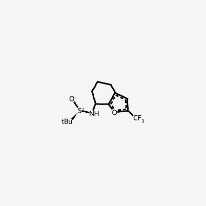 CC(C)(C)[S@@+]([O-])NC1CCCc2cc(C(F)(F)F)oc21